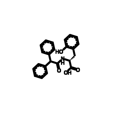 O=C(N[C@H](Cc1ccccc1O)C(=O)O)C(c1ccccc1)c1ccccc1